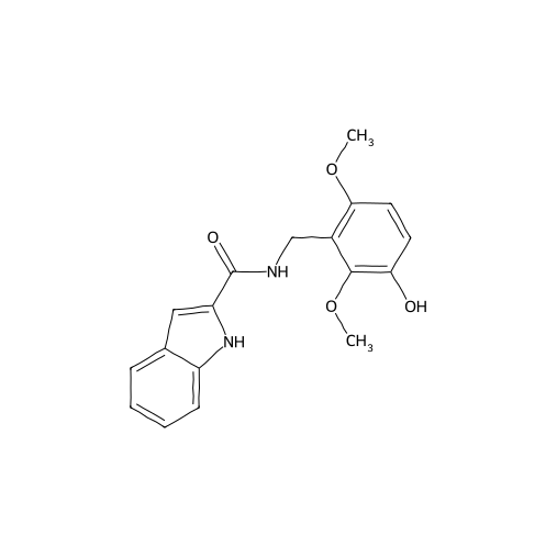 COc1ccc(O)c(OC)c1CNC(=O)c1cc2ccccc2[nH]1